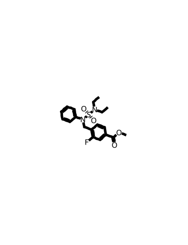 CCN(CC)S(=O)(=O)N(Cc1ccc(C(=O)OC)cc1F)c1ccccc1